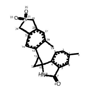 Cc1ccc2c(c1)C(=O)NC21CC1c1cc2c(cc1C)CS(=O)(=O)C2